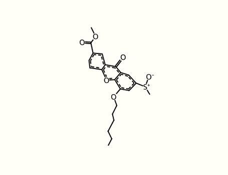 CCCCCCOc1cc([S+](C)[O-])cc2c(=O)c3cc(C(=O)OC)ccc3oc12